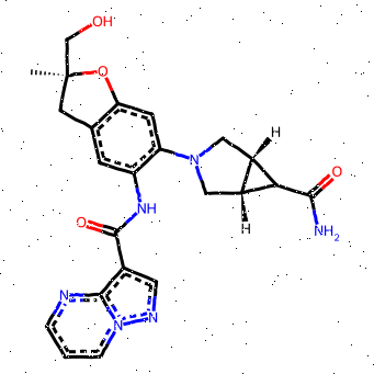 C[C@@]1(CO)Cc2cc(NC(=O)c3cnn4cccnc34)c(N3C[C@@H]4C(C(N)=O)[C@@H]4C3)cc2O1